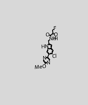 COc1cnc(-c2cc3[nH]c(CNC(=O)[C@H](O)CF)cc3cc2Cl)cn1